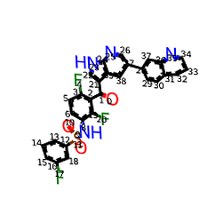 O=C(c1c(F)ccc(NS(=O)(=O)c2cccc(F)c2)c1F)c1c[nH]c2ncc(-c3ccc4cccnc4c3)cc12